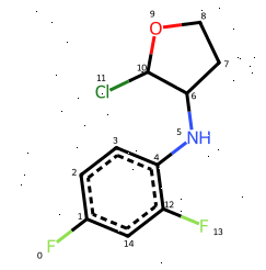 Fc1ccc(NC2CCO[C]2Cl)c(F)c1